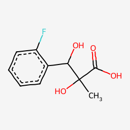 CC(O)(C(=O)O)C(O)c1ccccc1F